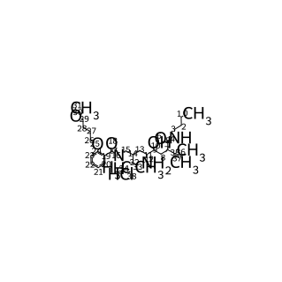 CCCCNC(=O)C(CC(O)C(N)CC(CNC(=O)c1ccccc1OCCCCOC)C(C)C)C(C)C.Cl